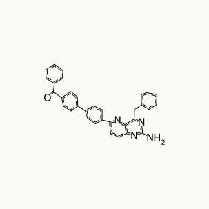 Nc1nc(Cc2ccccc2)c2nc(-c3ccc(-c4ccc(C(=O)c5ccccc5)cc4)cc3)ccc2n1